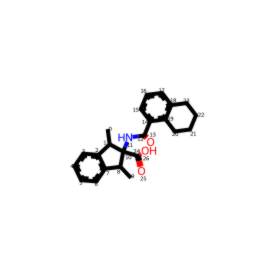 CC1c2ccccc2C(C)C1(NC(=O)c1cccc2c1CCCC2)C(=O)O